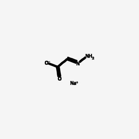 NN=CC(=O)[O-].[Na+]